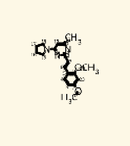 COc1ccc(C=Cc2nc(C)cc(N3CCCC3)n2)c(OC)c1